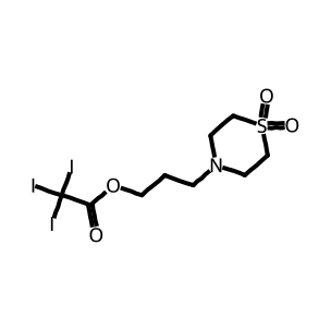 O=C(OCCCN1CCS(=O)(=O)CC1)C(I)(I)I